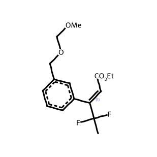 CCOC(=O)/C=C(\c1cccc(COCOC)c1)C(C)(F)F